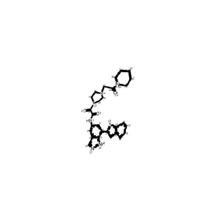 O=C(Nc1cc(-c2cc3ccccc3s2)c2[nH]ncc2c1)C(=O)N1CCN(CC(=O)N2CCCCC2)CC1